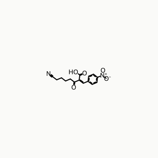 N#CCCCCC(=O)C(=Cc1ccc([N+](=O)[O-])cc1)C(=O)O